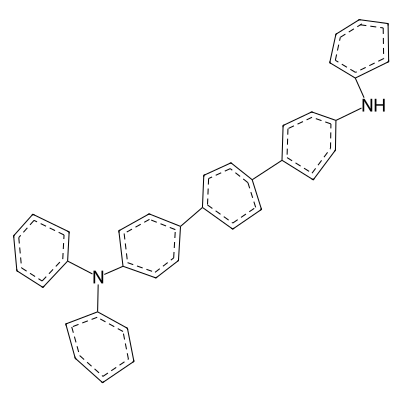 c1ccc(Nc2ccc(-c3ccc(-c4ccc(N(c5ccccc5)c5ccccc5)cc4)cc3)cc2)cc1